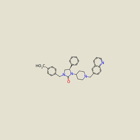 O=C(O)c1ccc(CN2C[C@@H](c3ccccc3)N(C3CCN(Cc4ccc5ncccc5c4)CC3)C2=O)cc1